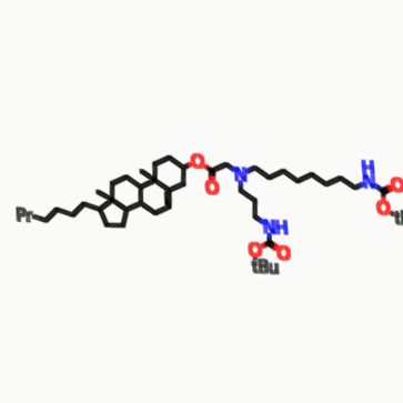 CC(C)CCCCC1CCC2C3CC=C4CC(OC(=O)CN(CCCCCCCCNC(=O)OC(C)(C)C)CCCNC(=O)OC(C)(C)C)CCC4(C)C3CCC12C